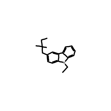 CCn1c2ccccc2c2cc(CC(C)(C)CC)ccc21